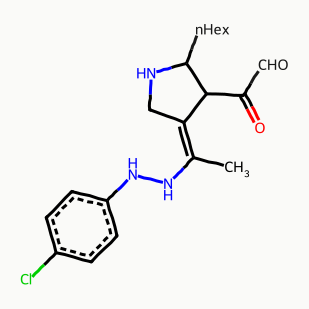 CCCCCCC1NCC(=C(C)NNc2ccc(Cl)cc2)C1C(=O)C=O